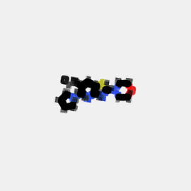 O=[N+]([O-])c1cc2sc(N3CCOCC3)nc2nc1N1CCCC1